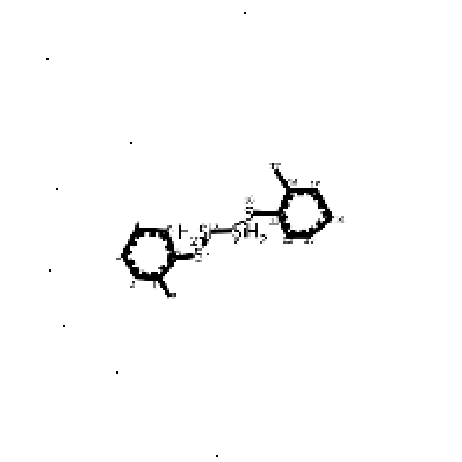 Cc1ccccc1S[SiH2][SiH2]Sc1ccccc1C